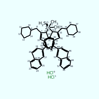 Cl.Cl.[CH3][Zr]([CH3])(=[SiH2])([CH]1C(CC2CCCCC2)=Cc2c(-c3ccc4ccccc4c3)cccc21)[CH]1C(CC2CCCCC2)=Cc2c(-c3ccc4ccccc4c3)cccc21